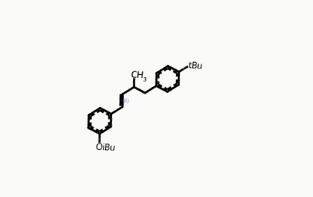 CC(C)COc1cccc(/C=C/C(C)Cc2ccc(C(C)(C)C)cc2)c1